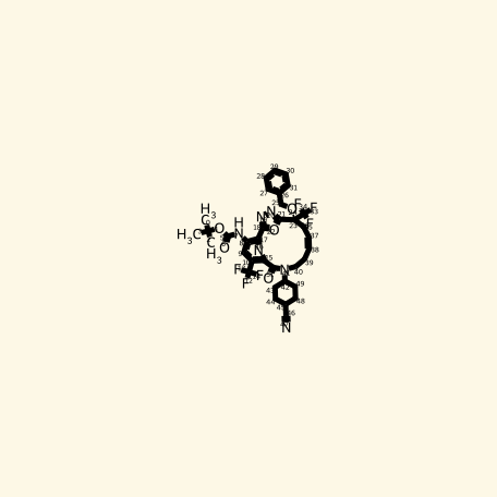 CC(C)(C)OC(=O)Nc1cc(C(F)(F)F)c2nc1-c1nnc(o1)[C@@](OCc1ccccc1)(C(F)(F)F)CC=CCCN(C1CCC(C#N)CC1)C2=O